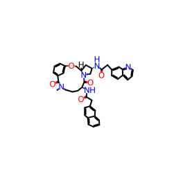 CN1CCC[C@H](NC(=O)Cc2ccc3ccccc3c2)C(=O)N2C[C@@H](NC(=O)Cc3ccc4cccnc4c3)C[C@H]2COc2cccc(c2)C1=O